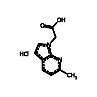 Cc1ccc2ccn(CC(=O)O)c2n1.Cl